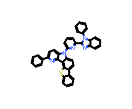 C1=CC2=NC(c3cccc(-n4c5ccc(-c6ccccc6)nc5c5c6sc7ccccc7c6ccc54)n3)N(c3ccccc3)C2C=C1